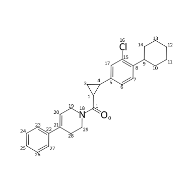 O=C(C1CC1c1ccc(C2CCCCC2)c(Cl)c1)N1CC=C(c2ccccc2)CC1